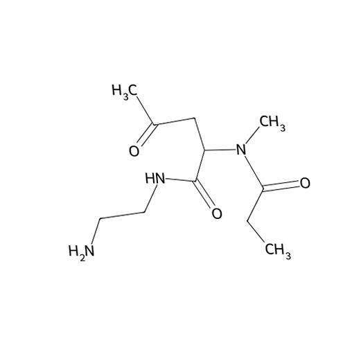 CCC(=O)N(C)C(CC(C)=O)C(=O)NCCN